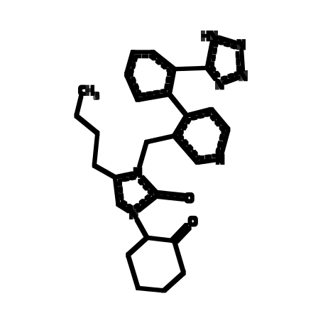 CCCCc1cn(C2CCCCC2=O)c(=O)n1Cc1cnccc1-c1ccccc1-c1nnn[nH]1